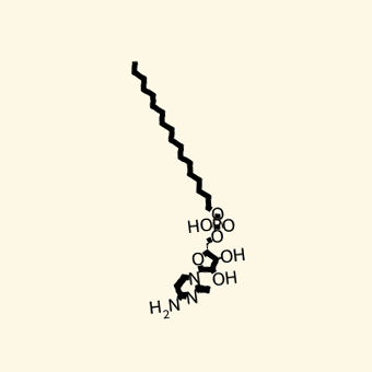 C=C1N=C(N)C=CN1[C@@H]1O[C@H](COP(=O)(O)OCCCCCCCCCCCCCCCCCC)[C@H](O)C1O